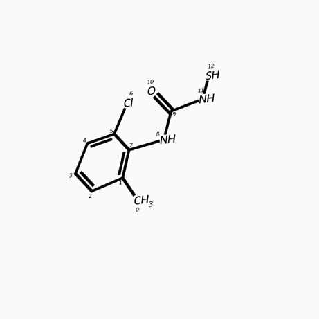 Cc1cccc(Cl)c1NC(=O)NS